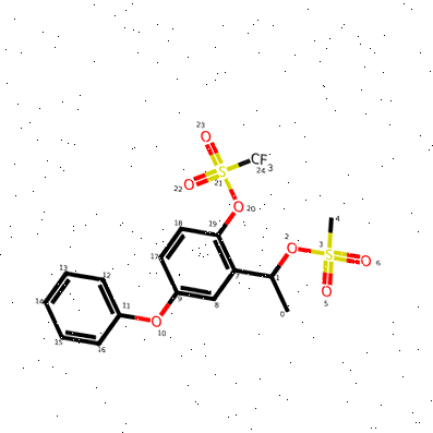 CC(OS(C)(=O)=O)c1cc(Oc2ccccc2)ccc1OS(=O)(=O)C(F)(F)F